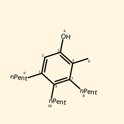 CCCCCc1cc(O)c(C)c(CCCCC)c1CCCCC